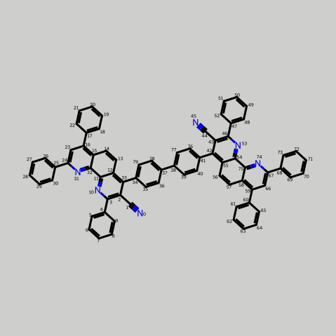 N#Cc1c(-c2ccccc2)nc2c(ccc3c(-c4ccccc4)cc(-c4ccccc4)nc32)c1-c1ccc(-c2ccc(-c3c(C#N)c(-c4ccccc4)nc4c3ccc3c(-c5ccccc5)cc(-c5ccccc5)nc34)cc2)cc1